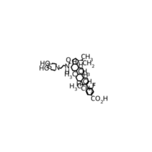 C=C(C)[C@@H]1CC[C@]2(C(=O)NCCN3CCS(O)(O)CC3)CC[C@]3(C)[C@H](CC[C@@H]4[C@@]5(C)CC=C(c6ccc(C(=O)O)cc6F)C(C)(C)[C@@H]5CC[C@]43C)[C@@H]12